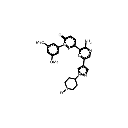 CCN1CCC(n2cc(-c3cnc(N)c(-c4ccc(=O)n(-c5cc(OC)cc(OC)c5)n4)n3)cn2)CC1